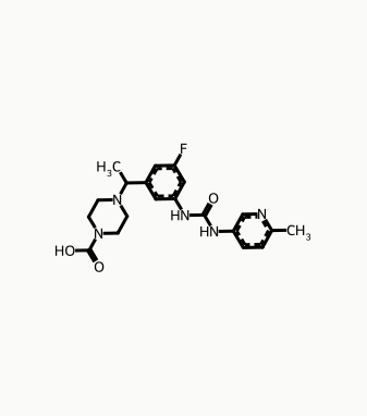 Cc1ccc(NC(=O)Nc2cc(F)cc(C(C)N3CCN(C(=O)O)CC3)c2)cn1